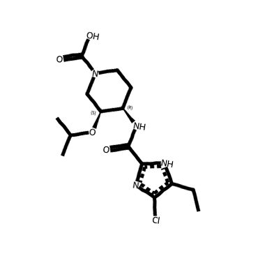 CCc1[nH]c(C(=O)N[C@@H]2CCN(C(=O)O)C[C@@H]2OC(C)C)nc1Cl